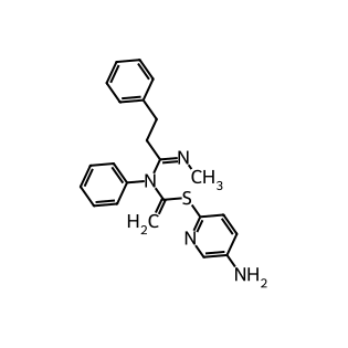 C=C(Sc1ccc(N)cn1)N(/C(CCc1ccccc1)=N\C)c1ccccc1